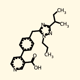 CCCn1nc(C(C)CC)nc1Cc1ccc(-c2ccncc2C(=O)O)cc1